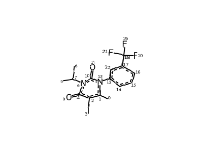 Cc1c(I)c(=O)n(C(C)C)c(=O)n1-c1cccc(C(F)(F)F)c1